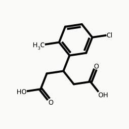 Cc1ccc(Cl)cc1C(CC(=O)O)CC(=O)O